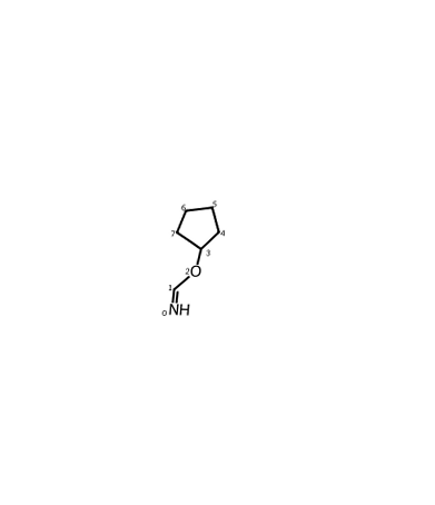 N=COC1CCCC1